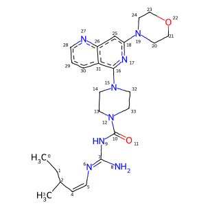 CCC(C)/C=C\N=C(/N)NC(=O)N1CCN(c2nc(N3CCOCC3)cc3ncccc23)CC1